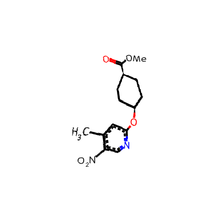 COC(=O)[C@H]1CC[C@@H](Oc2cc(C)c([N+](=O)[O-])cn2)CC1